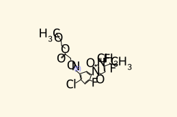 COCCOC(=O)CO/N=C/c1cc(-n2c(=O)cc(C(C)(F)F)n(C)c2=O)c(F)cc1Cl